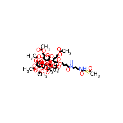 CC(=O)OCC1O[C@@H](OCCCC(=O)NCCCNC(=O)CSC(C)=O)C(OC(C)=O)[C@@H](OC(C)=O)[C@@H]1O[C@@H]1OC(COC(C)=O)[C@H](O[C@H]2OC(COC(C)=O)[C@H](OC(C)=O)[C@H](OC(C)=O)C2OC(C)=O)[C@H](OC(C)=O)C1OC(C)=O